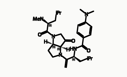 C=C([C@H](CC(C)C)NC(=O)c1ccc(N(C)C)cc1)N1CC[C@@H]2[C@H]1C(=O)CN2C(=O)[C@H](CC(C)C)NC